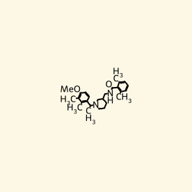 COc1ccc(C(C)N2CCCC(CNC(=O)c3c(C)cccc3C)C2)c(C)c1C